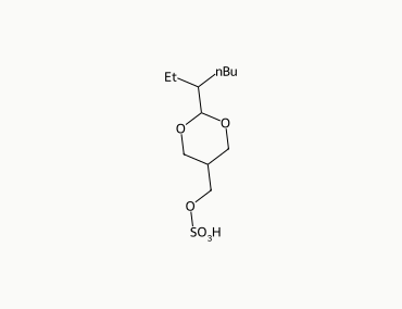 CCCCC(CC)C1OCC(COS(=O)(=O)O)CO1